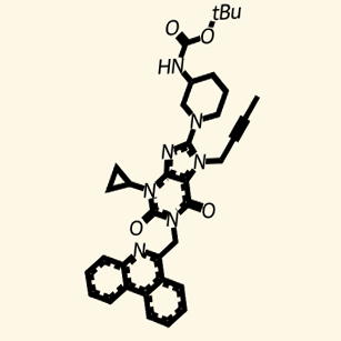 CC#CCn1c(N2CCCC(NC(=O)OC(C)(C)C)C2)nc2c1c(=O)n(Cc1nc3ccccc3c3ccccc13)c(=O)n2C1CC1